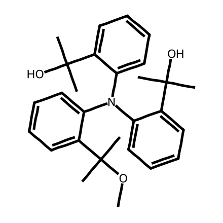 COC(C)(C)c1ccccc1N(c1ccccc1C(C)(C)O)c1ccccc1C(C)(C)O